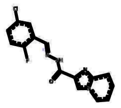 O=C(N/N=C/c1cc(Cl)ccc1F)c1cn2ccccc2n1